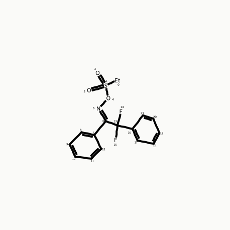 CCS(=O)(=O)ON=C(c1ccccc1)C(F)(F)c1ccccc1